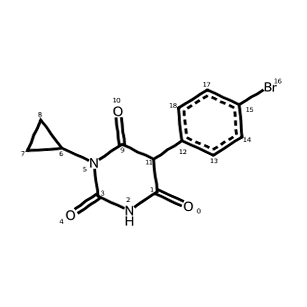 O=C1NC(=O)N(C2CC2)C(=O)C1c1ccc(Br)cc1